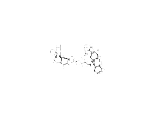 O=C1CCc2ccc(OCCCCCN3c4ccccc4Sc4ccc(C(F)(F)F)cc43)cc2N1